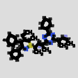 C=CC1=C(C)S(C(=C)/C=C(\C)c2nc(C(=C)/C=C\C)nc(-c3ccccc3)n2)=NC(c2ccccc2)=C1c1ccccc1